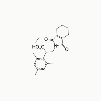 CC.Cc1cc(C)c(C(CN2C(=O)C3=C(CCCC3)C2=O)C(=O)O)c(C)c1